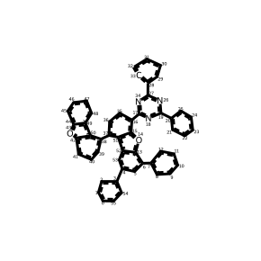 c1ccc(-c2cc(-c3ccccc3)c3oc4c(-c5nc(-c6ccccc6)nc(-c6ccccc6)n5)ccc(-c5cccc6oc7ccccc7c56)c4c3c2)cc1